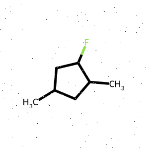 CC1CC(C)C(F)C1